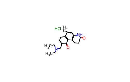 CCN(CC)CC1CCc2c(C)cc3c(c2C1=O)CCC(=O)N3.Cl